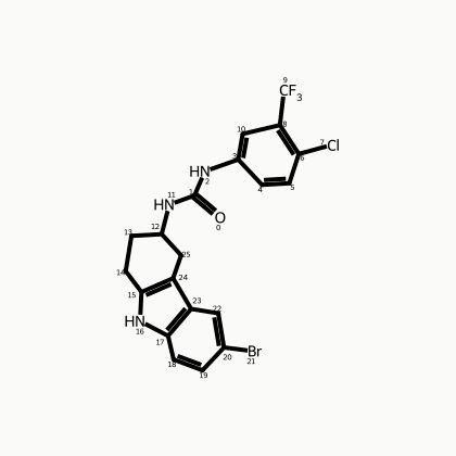 O=C(Nc1ccc(Cl)c(C(F)(F)F)c1)NC1CCc2[nH]c3ccc(Br)cc3c2C1